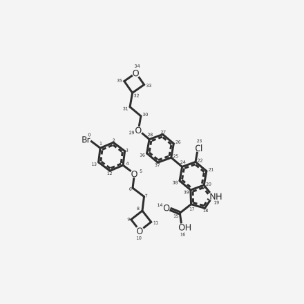 Brc1ccc(OCCC2COC2)cc1.O=C(O)c1c[nH]c2cc(Cl)c(-c3ccc(OCCC4COC4)cc3)cc12